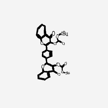 CC(C)(C)OC(=O)Oc1c(-c2ccc(-c3oc4ccccc4c(=O)c3OC(=O)OC(C)(C)C)cc2)oc2ccccc2c1=O